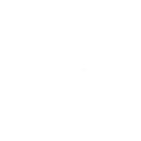 CS(=O)(=O)N1CCCS/C1=C(/F)[N+](=O)[O-]